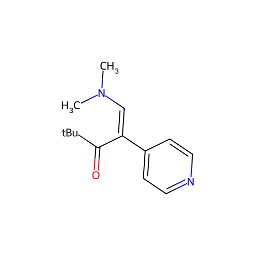 CN(C)C=C(C(=O)C(C)(C)C)c1ccncc1